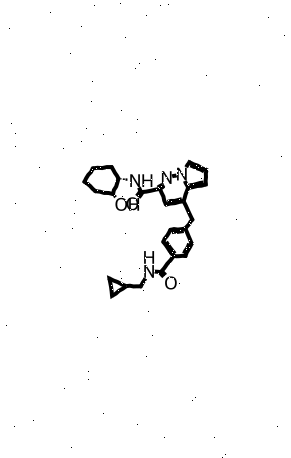 O=C(NCC1CC1)c1ccc(Cc2cc(C(=O)N[C@H]3CCCC[C@@H]3O)nn3cccc23)cc1